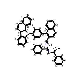 N=C(/N=C(\N=C\c1ccc2ccccc2c1-c1ccc(N2c3ccccc3C3C=Cc4ccccc4C32)cc1)c1ccccc1)c1ccccc1